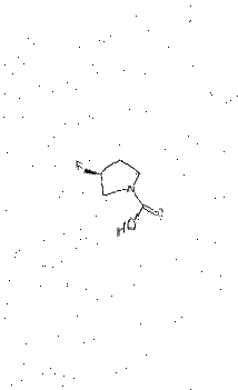 O=C(O)N1CC[C@H](F)C1